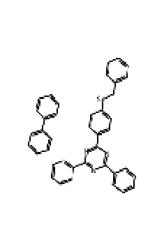 c1ccc(-c2ccccc2)cc1.c1ccc(C[Se]c2ccc(-c3nc(-c4ccccc4)nc(-c4ccccc4)n3)cc2)cc1